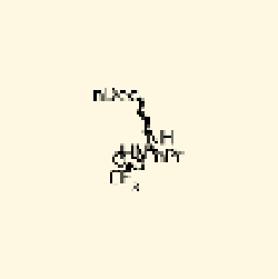 CCCCCCCCCCCCCCNC(CCC)NOC(=O)C(F)(F)F